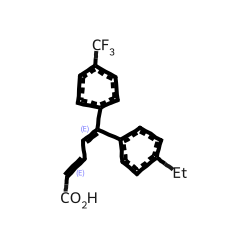 CCc1ccc(/C(=C\C=C\C(=O)O)c2ccc(C(F)(F)F)cc2)cc1